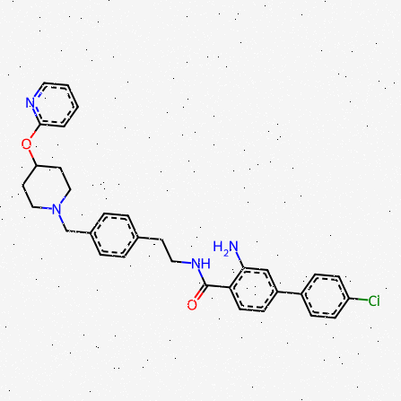 Nc1cc(-c2ccc(Cl)cc2)ccc1C(=O)NCCc1ccc(CN2CCC(Oc3ccccn3)CC2)cc1